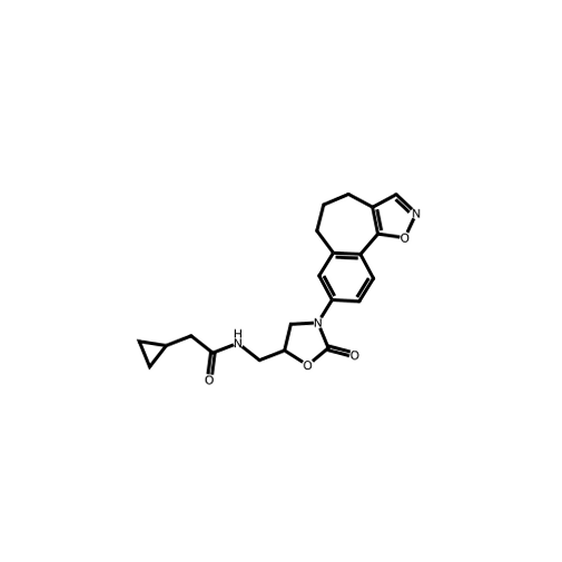 O=C(CC1CC1)NCC1CN(c2ccc3c(c2)CCCc2cnoc2-3)C(=O)O1